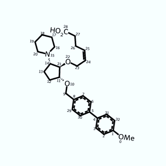 COc1ccc(-c2ccc(CO[C@@H]3CC[C@H](N4CCCCC4)[C@H]3OC/C=C\CCC(=O)O)cc2)cc1